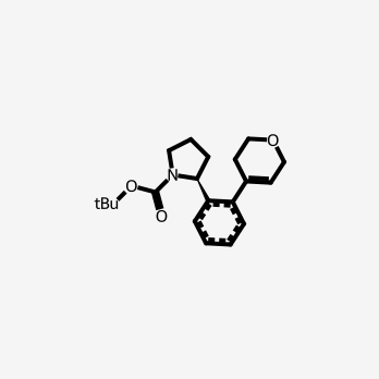 CC(C)(C)OC(=O)N1CCC[C@H]1c1ccccc1C1=CCOCC1